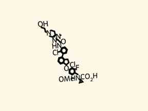 COc1cc(OC2CCc3c(-c4cccc(NC(=O)c5nc6c(n5C)CCN(CCCO)C6)c4Cl)cccc32)c(Cl)c(F)c1CNC1(C(=O)O)CC1